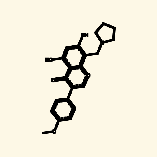 COc1ccc(-c2coc3c(CN4CCCC4)c(O)cc(O)c3c2=O)cc1